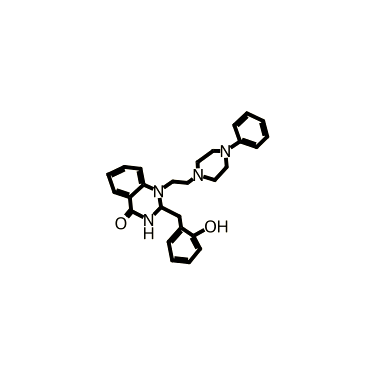 O=C1NC(Cc2ccccc2O)N(CCN2CCN(c3ccccc3)CC2)c2ccccc21